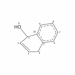 OC1C=C[CH]c2ccccc21